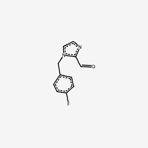 O=Cc1nccn1Cc1ccc(F)cc1